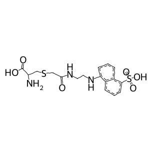 NC(CSCC(=O)NCCNc1cccc2c(S(=O)(=O)O)cccc12)C(=O)O